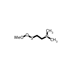 COOSCCN(C)C